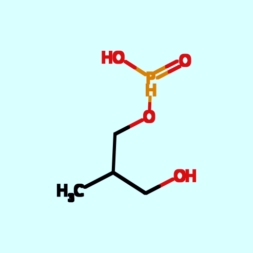 CC(CO)CO[PH](=O)O